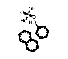 O=S(=O)(O)O.Oc1ccccc1.c1ccc2ccccc2c1